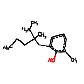 CCCC(C)(Cc1cccc(C)c1O)[SiH2]C